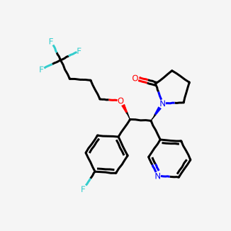 O=C1CCCN1[C@@H](c1cccnc1)[C@H](OCCCC(F)(F)F)c1ccc(F)cc1